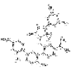 COc1ccc(-c2ccc(C(=O)O)cc2C)cc1-c1cnc(N(C)C)nc1CN1C(=O)O[C@@H](c2cc(C(F)(F)F)cc(C(F)(F)F)c2)C12CC2